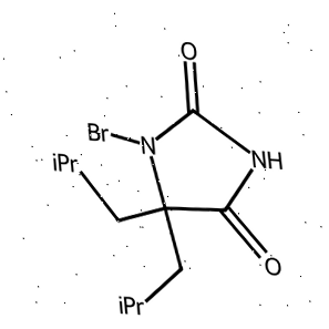 CC(C)CC1(CC(C)C)C(=O)NC(=O)N1Br